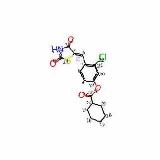 O=C1NC(=O)/C(=C/c2ccc(OC(=O)C3CCCCC3)cc2Cl)S1